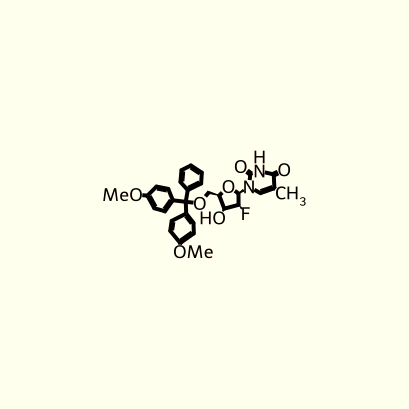 COc1ccc(C(OC[C@H]2O[C@@H](n3cc(C)c(=O)[nH]c3=O)[C@H](F)[C@@H]2O)(c2ccccc2)c2ccc(OC)cc2)cc1